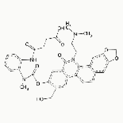 CN(C)CCn1c(=O)c2cc(OC(=O)N(C)c3ccccc3NC(=O)CCC(=O)O)c(CO)cc2c2ccc3cc4c(cc3c21)OCO4